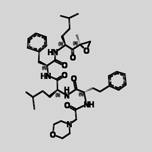 CC(C)CC[C@H](NC(=O)[C@H](CCc1ccccc1)NC(=O)CN1CCOCC1)C(=O)N[C@@H](Cc1ccccc1)C(=O)N[C@@H](CCC(C)C)C(=O)[C@@]1(C)CO1